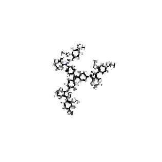 C=C1OCCO/C1=C(/SCc1ccc(O)cc1O)C1=CC[C@@H](N(c2ccc(-c3sc(-c4ccc(O)cc4OC)c4c3OCCO4)cc2)c2ccc(-c3sc(-c4ccc(O)cc4OC)c4c3OCCO4)cc2)C=C1